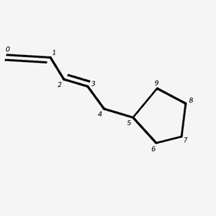 C=CC=CCC1CCCC1